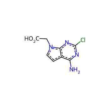 Nc1nc(Cl)nc2c1ccn2CC(=O)O